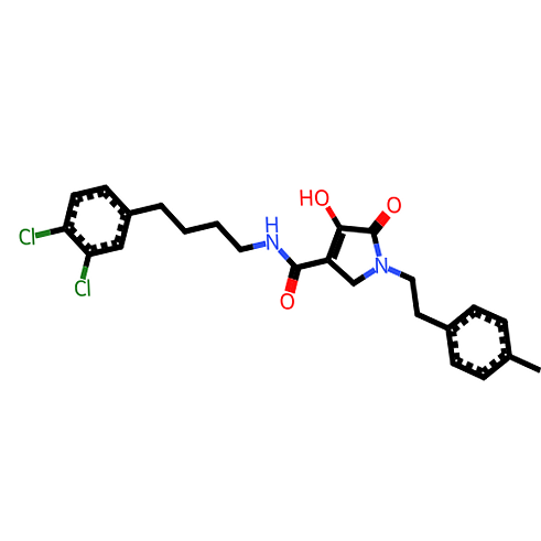 Cc1ccc(CCN2CC(C(=O)NCCCCc3ccc(Cl)c(Cl)c3)=C(O)C2=O)cc1